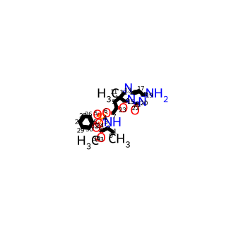 CCC(NP(=O)(OCC1CC(C)(C#N)C(n2ccc(N)nc2=O)O1)Oc1ccccc1)C(=O)OC